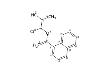 C=C(OC(Cl)C(C)C#N)c1cccc2ccccc12